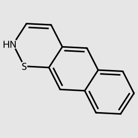 C1=Cc2cc3ccccc3cc2SN1